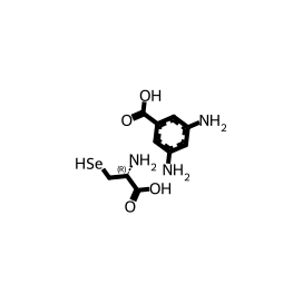 N[C@@H](C[SeH])C(=O)O.Nc1cc(N)cc(C(=O)O)c1